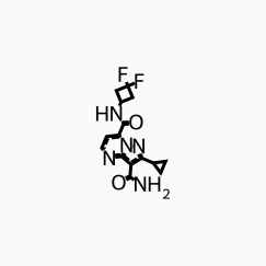 NC(=O)c1c(C2CC2)nn2c(C(=O)NC3CC(F)(F)C3)ccnc12